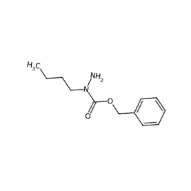 CCCCN(N)C(=O)OCc1ccccc1